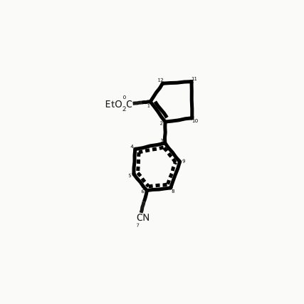 CCOC(=O)C1=C(c2ccc(C#N)cc2)CCC1